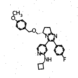 COc1ccc(COC[C@@H]2CCc3nc(-c4ccc(F)cc4)c(-c4ccnc(NC5CCC5)c4)n32)cc1